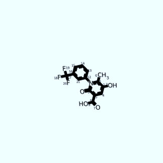 Cc1c(O)cc(C(=O)O)c(=O)n1-c1cccc(C(F)(F)F)c1